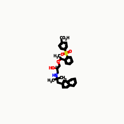 CC(OC[C@H](O)CNC(C)(C)Cc1ccc2ccccc2c1)c1ccccc1S(=O)(=O)c1ccc(C(=O)O)cc1